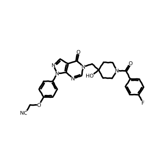 N#CCOc1ccc(-n2ncc3c(=O)n(CC4(O)CCN(C(=O)c5ccc(F)cc5)CC4)cnc32)cc1